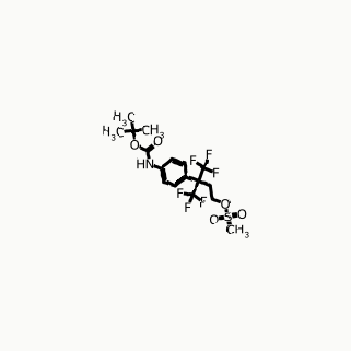 CC(C)(C)OC(=O)Nc1ccc(C(CCOS(C)(=O)=O)(C(F)(F)F)C(F)(F)F)cc1